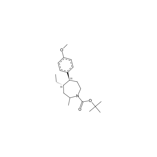 CC[C@H]1CC(C)N(C(=O)OC(C)(C)C)CC[C@@H]1c1ccc(OC)cc1